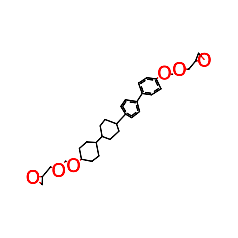 c1cc(-c2ccc(C3CCC(C4CCC(OCOCC5CO5)CC4)CC3)cc2)ccc1OCOCC1CO1